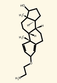 C[C@]12C=CC(OCCN)C=C1CC[C@@H]1[C@H]2CC[C@]2(C)C(O)CC[C@@H]12